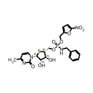 Cc1ccn([C@@H]2S[C@H](COP(=O)(NCc3ccccc3)OCc3ccc([N+](=O)[O-])o3)[C@@H](O)[C@@H]2O)c(=O)n1